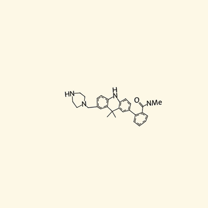 CNC(=O)c1ccccc1-c1ccc2c(c1)C(C)(C)c1cc(CN3CCNCC3)ccc1N2